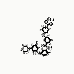 Cc1ccc(Nc2cc(F)cc(N3CCOCC3)c2)cc1NC(=O)c1cccc(OC2CCN(C(=O)OC(C)(C)C)CC2)c1